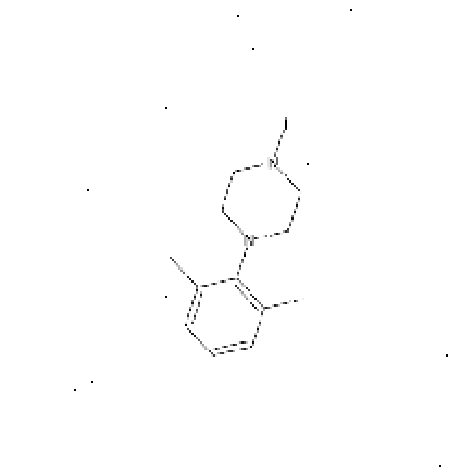 Cc1cccc(C)c1N1CCN(I)CC1